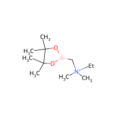 CC[N+](C)(C)CB1OC(C)(C)C(C)(C)O1